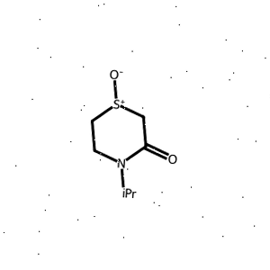 CC(C)N1CC[S+]([O-])CC1=O